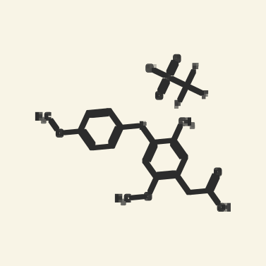 COc1ccc([I+]c2cc(OC)c(CC(=O)O)cc2C)cc1.O=S(=O)([O-])C(F)(F)F